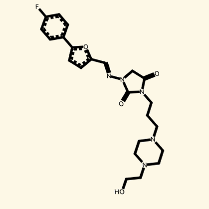 O=C1CN(N=Cc2ccc(-c3ccc(F)cc3)o2)C(=O)N1CCCN1CCN(CCO)CC1